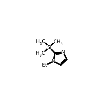 CCn1ccnc1[Si](C)(C)C